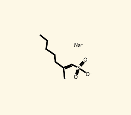 CCCCCC(C)=CS(=O)(=O)[O-].[Na+]